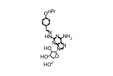 CCCOc1ccc(/C=N/Nc2nc(N)c3ncn([C@@H]4O[C@H](CO)[C@@H](O)[C@H]4O)c3n2)cc1